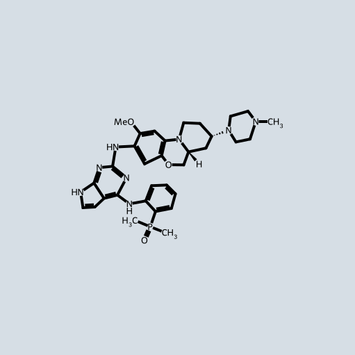 COc1cc2c(cc1Nc1nc(Nc3ccccc3P(C)(C)=O)c3cc[nH]c3n1)OC[C@H]1C[C@@H](N3CCN(C)CC3)CCN21